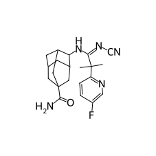 CC(C)(/C(=N\C#N)NC1C2CC3CC1CC(C(N)=O)(C3)C2)c1ccc(F)cn1